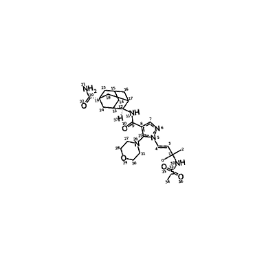 CC(C)(/C=C/n1ncc(C(=O)N[C@H]2C3CC4CC2C[C@](C(N)=O)(C4)C3)c1N1CCOCC1)NS(C)(=O)=O